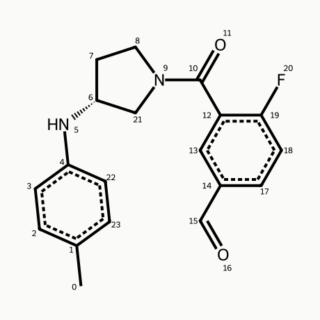 Cc1ccc(N[C@@H]2CCN(C(=O)c3cc(C=O)ccc3F)C2)cc1